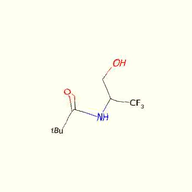 CC(C)(C)C(=O)NC(CO)C(F)(F)F